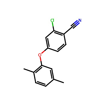 Cc1ccc(C)c(Oc2ccc(C#N)c(Cl)c2)c1